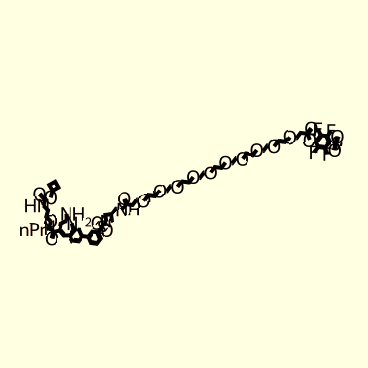 CCCN(OCCNC(=O)OC1CCC1)C(=O)C1=Cc2ccc(-c3cccc(S(=O)(=O)N4CC(CNC(=O)CCOCCOCCOCCOCCOCCOCCOCCOCCOCCOCCC(=O)Oc5c(F)c(F)c(S(C)(=O)=O)c(F)c5F)C4)c3)cc2N=C(N)C1